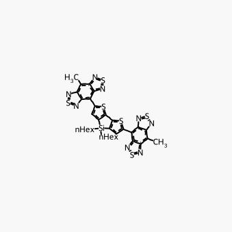 CCCCCC[Si]1(CCCCCC)c2cc(-c3c4c(c(C)c5nsnc35)N=S=N4)sc2-c2sc(-c3c4c(c(C)c5nsnc35)N=S=N4)cc21